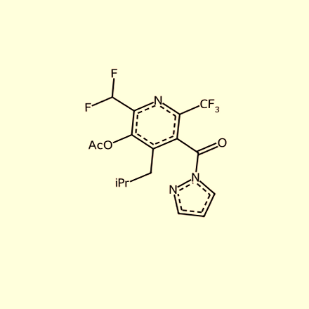 CC(=O)Oc1c(C(F)F)nc(C(F)(F)F)c(C(=O)n2cccn2)c1CC(C)C